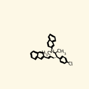 C[C@@H]([C@@H](C/C=C/c1ccc2ccccc2c1)c1ccc(Cl)cc1)N(C)c1ccc2ccccc2c1